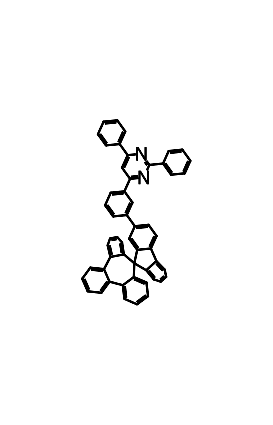 c1ccc(-c2cc(-c3cccc(-c4ccc5c(c4)C4(c6ccccc6-c6ccccc6-c6ccccc64)c4ccccc4-5)c3)nc(-c3ccccc3)n2)cc1